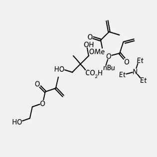 C=C(C)C(=O)OC.C=C(C)C(=O)OCCO.C=CC(=O)OCCCC.CC(CO)(CO)C(=O)O.CCN(CC)CC